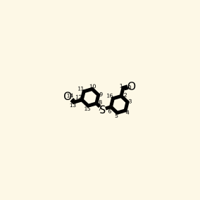 O=CC1CCCC(SC2CCCC(C=O)C2)C1